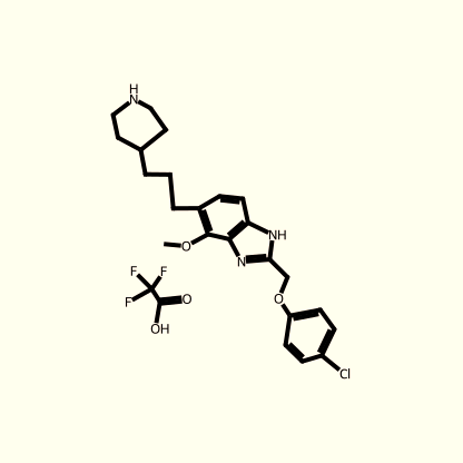 COc1c(CCCC2CCNCC2)ccc2[nH]c(COc3ccc(Cl)cc3)nc12.O=C(O)C(F)(F)F